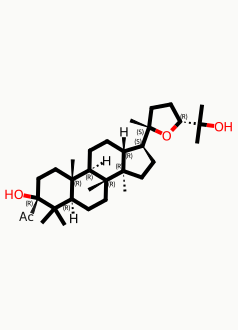 CC(=O)[C@@]1(O)CC[C@]2(C)[C@H]3CC[C@@H]4[C@@H]([C@]5(C)CC[C@H](C(C)(C)O)O5)CC[C@@]4(C)[C@]3(C)CC[C@H]2C1(C)C